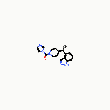 N#CC(=C1CCN(C(=O)n2ccnc2)CC1)c1cccc2[nH]ncc12